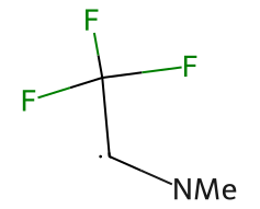 CN[CH]C(F)(F)F